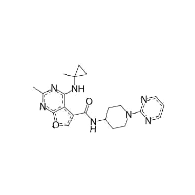 Cc1nc(NC2(C)CC2)c2c(C(=O)NC3CCN(c4ncccn4)CC3)coc2n1